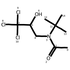 CC(=O)N(CC(O)C(Cl)(Cl)Cl)C(C)(C)C